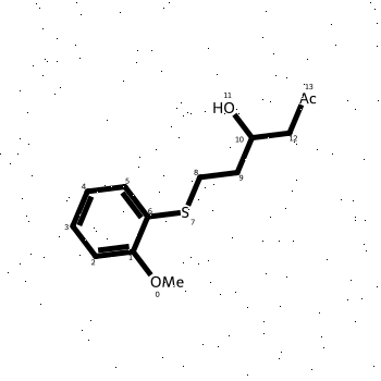 COc1ccccc1SCCC(O)CC(C)=O